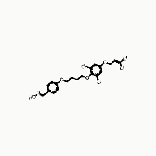 O/N=C/c1ccc(OCCCCOc2c(Cl)cc(OCC=C(Cl)Cl)cc2Cl)cc1